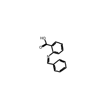 O=C(O)c1ccccc1/N=C\c1ccccc1